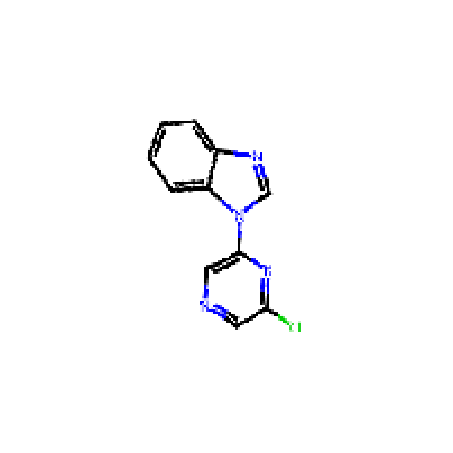 Clc1cncc(-n2cnc3ccccc32)n1